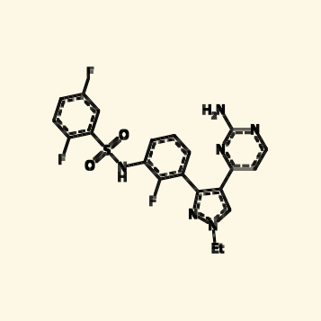 CCn1cc(-c2ccnc(N)n2)c(-c2cccc(NS(=O)(=O)c3cc(F)ccc3F)c2F)n1